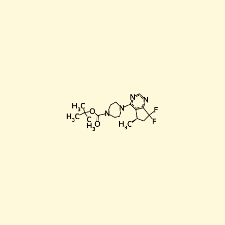 C[C@@H]1CC(F)(F)c2ncnc(N3CCN(C(=O)OC(C)(C)C)CC3)c21